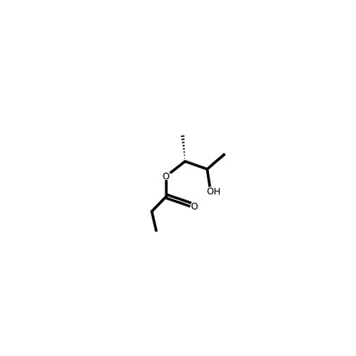 CCC(=O)O[C@H](C)C(C)O